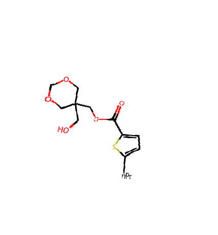 CCCc1ccc(C(=O)OCC2(CO)COCOC2)s1